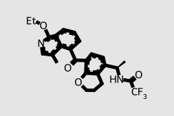 CCOc1ncc(C)c2c(C(=O)c3ccc([C@@H](C)NC(=O)C(F)(F)F)c4c3OCCC4)cccc12